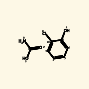 NC(=O)O.Oc1ccccc1Cl